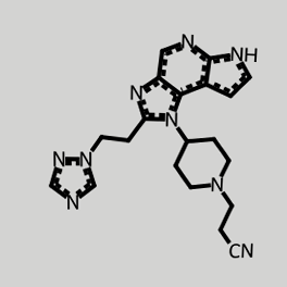 N#CCCN1CCC(n2c(CCn3cncn3)nc3cnc4[nH]ccc4c32)CC1